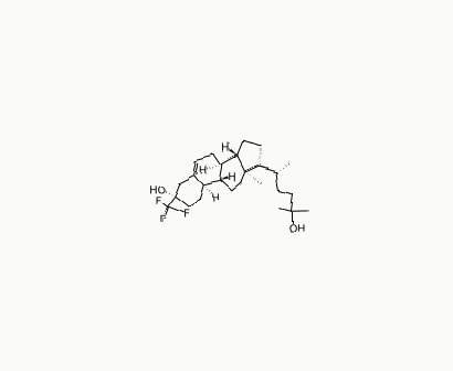 C[C@H](CCC(C)(C)O)[C@H]1CC[C@H]2[C@@H]3CC=C4C[C@](O)(C(F)(F)F)CC[C@@H]4[C@H]3CC[C@]12C